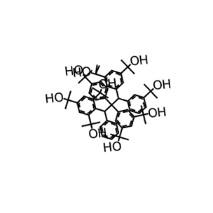 CC(C)(O)c1ccc(C(c2cc(C(C)(C)O)cc(C(C)(C)O)c2)(C(c2cccc(C(C)(C)O)c2)c2cc(C(C)(C)O)cc(C(C)(C)O)c2)C(c2ccccc2)c2c(C(C)(C)O)cc(C(C)(C)O)cc2C(C)(C)O)cc1